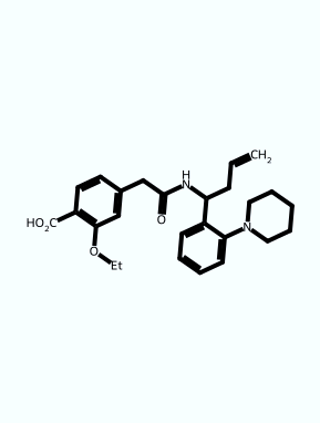 C=CCC(NC(=O)Cc1ccc(C(=O)O)c(OCC)c1)c1ccccc1N1CCCCC1